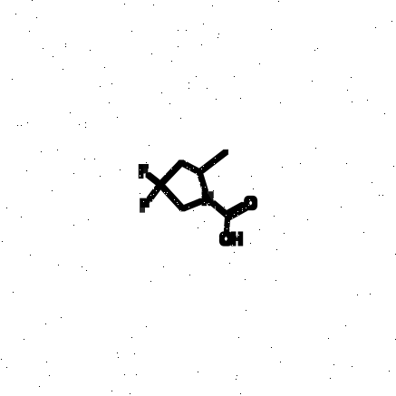 CC1CC(F)(F)CN1C(=O)O